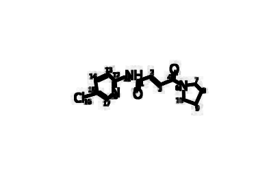 O=C(C=CC(=O)N1CCCC1)Nc1ccc(Cl)cn1